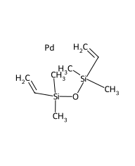 C=C[Si](C)(C)O[Si](C)(C)C=C.[Pd]